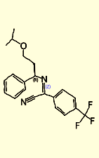 CC(C)OCC[C@@H](/N=C(\C#N)c1ccc(C(F)(F)F)cc1)c1ccccc1